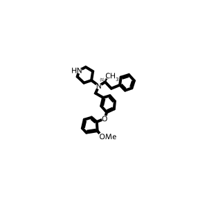 COc1ccccc1Oc1cccc(CN(C2CCNCC2)[C@@H](C)Cc2ccccc2)c1